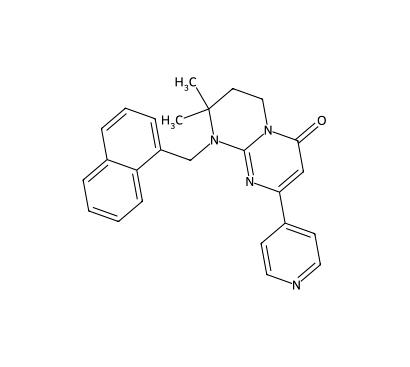 CC1(C)CCn2c(nc(-c3ccncc3)cc2=O)N1Cc1cccc2ccccc12